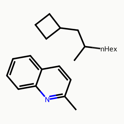 CCCCCCC(C)CC1CCC1.Cc1ccc2ccccc2n1